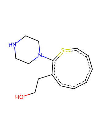 OCCc1ccccccsc1N1CCNCC1